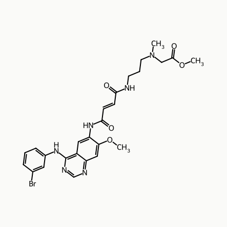 COC(=O)CN(C)CCCNC(=O)/C=C/C(=O)Nc1cc2c(Nc3cccc(Br)c3)ncnc2cc1OC